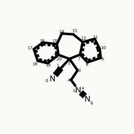 N#CC1(CC[N+]#N)c2ccccc2CCc2ccccc21